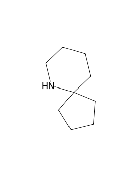 C1CCC2(CCCC2)NC1